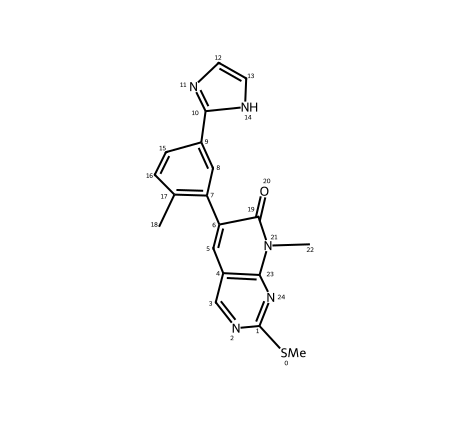 CSc1ncc2cc(-c3cc(-c4ncc[nH]4)ccc3C)c(=O)n(C)c2n1